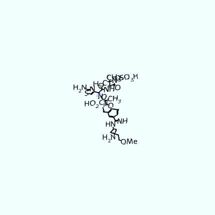 COCCC1(N)CC(NC(=N)c2ccc3c(c2)CC[C@H]([C@](C)(O/N=C(\C(=O)N[C@@H]2C(=O)N(OS(=O)(=O)O)C2(C)C)c2csc(N)n2)C(=O)O)O3)C1